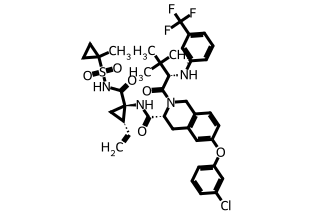 C=C[C@@H]1C[C@]1(NC(=O)[C@H]1Cc2cc(Oc3cccc(Cl)c3)ccc2CN1C(=O)[C@@H](Nc1cccc(C(F)(F)F)c1)C(C)(C)C)C(=O)NS(=O)(=O)C1(C)CC1